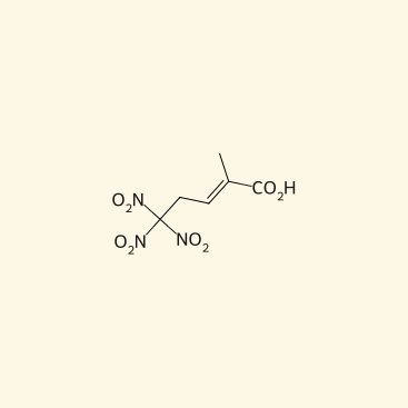 CC(=CCC([N+](=O)[O-])([N+](=O)[O-])[N+](=O)[O-])C(=O)O